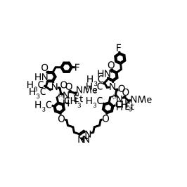 CC[C@H](NC)C(=O)N[C@@H](Cc1c(C)cc(OCCCCc2cn(CCCCOc3cc(C)c(C[C@H](NC(=O)[C@H](CC)NC)C(=O)N4CC(C)(C)c5[nH]c(=O)c(Cc6ccc(F)cc6)cc54)c(C)c3)nn2)cc1C)C(=O)N1CC(C)(C)c2[nH]c(=O)c(Cc3ccc(F)cc3)cc21